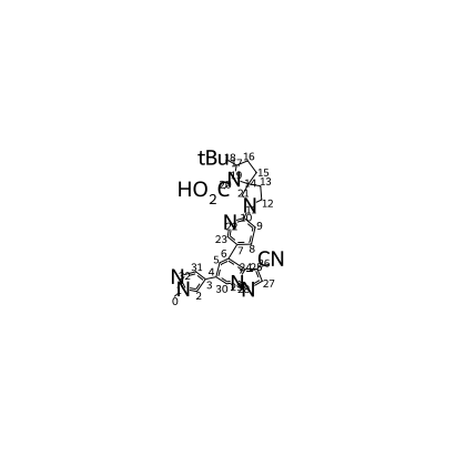 Cn1cc(-c2cc(-c3ccc(N4CCC5(CCC(C(C)(C)C)N5C(=O)O)C4)nc3)c3c(C#N)cnn3c2)cn1